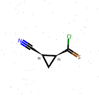 N#C[C@@H]1C[C@@H]1C(=S)Cl